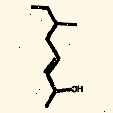 CCC(C)CC=CC(C)O